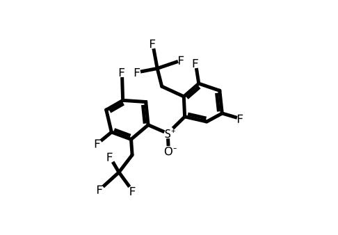 [O-][S+](c1cc(F)cc(F)c1CC(F)(F)F)c1cc(F)cc(F)c1CC(F)(F)F